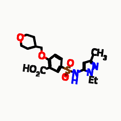 CCn1nc(C)cc1NS(=O)(=O)c1ccc(OCC2CCOCC2)c(C(=O)O)c1